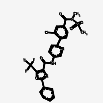 CN(C(=O)c1ccc(-c2ccc(NC(=O)c3nc(-c4ccccc4)oc3C(F)(F)F)cn2)c(Cl)c1)S(C)(=O)=O